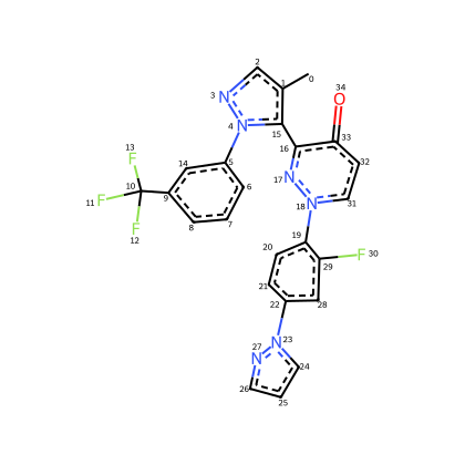 Cc1cnn(-c2cccc(C(F)(F)F)c2)c1-c1nn(-c2ccc(-n3cccn3)cc2F)ccc1=O